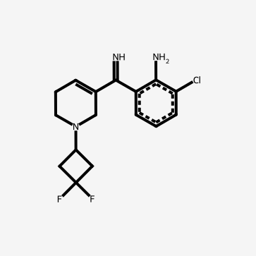 N=C(C1=CCCN(C2CC(F)(F)C2)C1)c1cccc(Cl)c1N